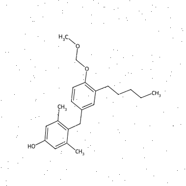 CCCCCc1cc(Cc2c(C)cc(O)cc2C)ccc1OCOC